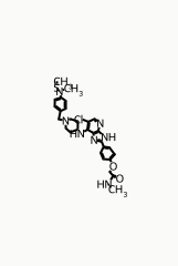 CNC(=O)COc1ccc(-c2nc3c(NC4CCN(Cc5ccc(N(C)SC)cc5)CC4)c(Cl)cnc3[nH]2)cc1